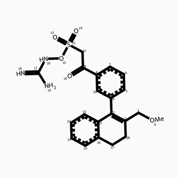 COCC1=C(c2cccc(C(=O)CS(=O)(=O)ONC(=N)N)c2)c2ccccc2CC1